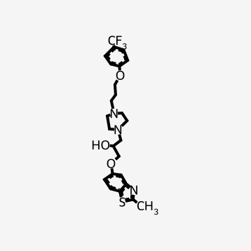 Cc1nc2cc(OCC(O)CN3CCN(CCCOc4ccc(C(F)(F)F)cc4)CC3)ccc2s1